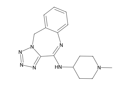 CN1CCC(NC2=Nc3ccccc3Cn3nnnc32)CC1